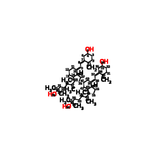 C=C1CC[C@H](O)C/C1=C/C=C1\CCC[C@]2(C)[C@@H]([C@H](C)CCCC(C)(C)O)CC[C@@H]12.C=C1CC[C@H](O)C/C1=C/C=C1\CCC[C@]2(C)[C@@H]([C@H](C)CCCC(C)(C)O)CC[C@@H]12